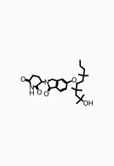 CCCC(C)(C)CC(Oc1ccc2c(c1)CN(C1CCC(=O)NC1=O)C2=O)C(C)(C)CC(C)(C)O